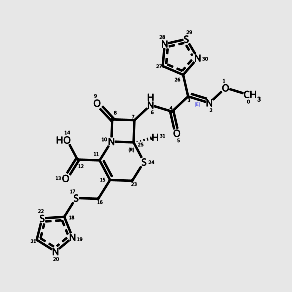 CO/N=C(/C(=O)NC1C(=O)N2C(C(=O)O)=C(CSc3nncs3)CS[C@H]12)c1cnsn1